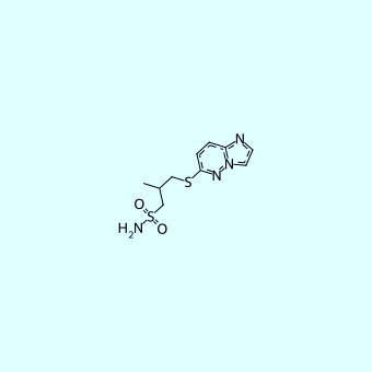 CC(CSc1ccc2nccn2n1)CS(N)(=O)=O